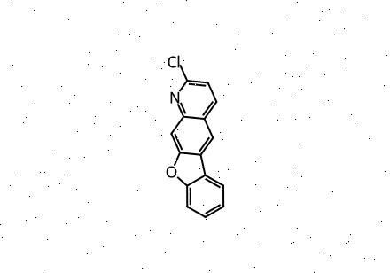 Clc1ccc2cc3c(cc2n1)oc1ccccc13